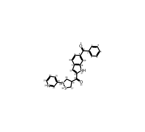 O=C(c1ccccc1)c1ccc2cc(C(=O)C3CSN(c4cccnc4)C3)[nH]c2c1